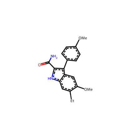 CCc1cc2[nH]c(C(N)=O)c(-c3ccc(OC)cc3)c2cc1OC